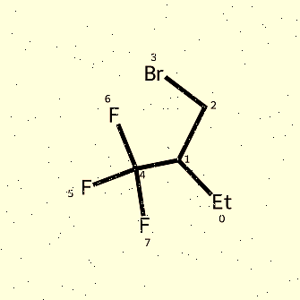 [CH2]CC(CBr)C(F)(F)F